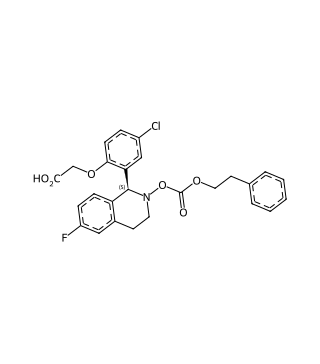 O=C(O)COc1ccc(Cl)cc1[C@@H]1c2ccc(F)cc2CCN1OC(=O)OCCc1ccccc1